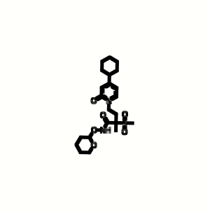 CC(CCn1ccc(C2CCCCC2)cc1=O)(C(=O)NOC1CCCCO1)S(C)(=O)=O